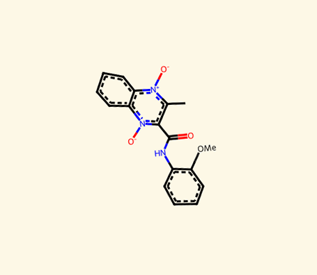 COc1ccccc1NC(=O)c1c(C)[n+]([O-])c2ccccc2[n+]1[O-]